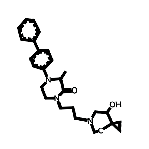 CC1C(=O)N(CCCN2CCC3(CC3)C(O)C2)CCN1c1ccc(-c2ccccc2)cc1